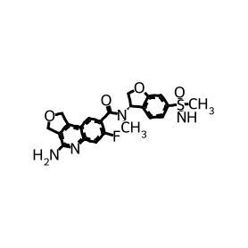 CN(C(=O)c1cc2c3c(c(N)nc2cc1F)COC3)[C@@H]1COc2cc(S(C)(=N)=O)ccc21